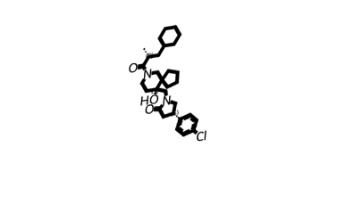 C[C@H](CC1CCCCC1)C(=O)N1CC[C@@](O)(CN2C[C@H](c3ccc(Cl)cc3)CC2=O)C2(CCCC2)C1